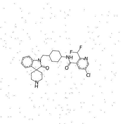 O=C(NC1CCC(CN2C(=O)C3(CCNCC3)c3ccccc32)CC1)c1cc(Cl)cnc1C(F)F